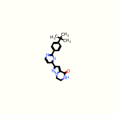 CC(C)(C)c1ccc(-c2nccc(-c3cc4n(n3)CCNC4=O)n2)cc1